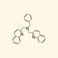 c1ccc(CN(Cc2ccc3ccccc3n2)Cc2ccc3ccccc3n2)cc1